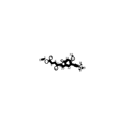 CCOC(=O)CCC(=O)c1cc2cc(C#C[Si](C)(C)C)c(OC)cc2s1